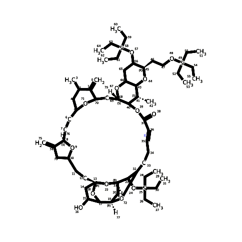 C=C1C(C)CC2CC[C@@H]3OC(CC[C@]45CC(O)C(O4)[C@H]4C[C@@H](O5)C(O[Si](CC)(CC)CC)C(CC/C=C/C(=O)OC5[C@@H](C)C6O[C@H](CCO[Si](CC)(CC)CC)C(O[Si](CC)(CC)CC)CC6O[C@H]5CC1O2)O4)CC3=C